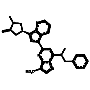 CCOC(=O)c1cnn2c(N(C)Cc3ccccc3)cc(-c3cn([C@H]4CC(=O)N(C)C4)c4ncccc34)nc12